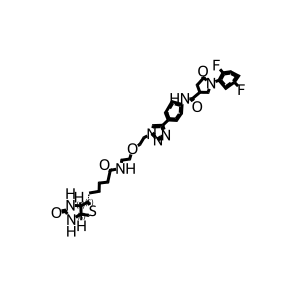 O=C(CCCC[C@@H]1SC[C@@H]2NC(=O)N[C@@H]21)NCCOCCn1cc(-c2ccc(NC(=O)C3CC(=O)N(c4cc(F)ccc4F)C3)cc2)nn1